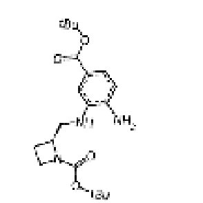 CC(C)(C)OC(=O)c1ccc(N)c(NC[C@@H]2CCN2C(=O)OC(C)(C)C)c1